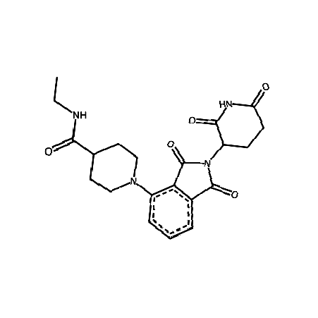 CCNC(=O)C1CCN(c2cccc3c2C(=O)N(C2CCC(=O)NC2=O)C3=O)CC1